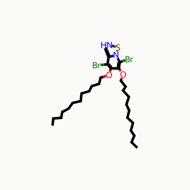 CCCCCCCCCCCCOC1=C(Br)C2=CNSN2C(Br)=C1OCCCCCCCCCCCC